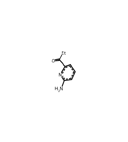 CCC(=O)c1cccc(N)n1